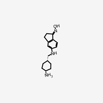 N[C@H]1CC[C@H](CNc2ccc3c(c2)CCC3=NO)CC1